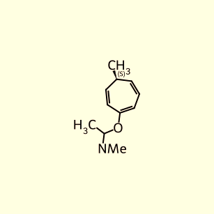 CNC(C)OC1=CC=C[C@H](C)C=C1